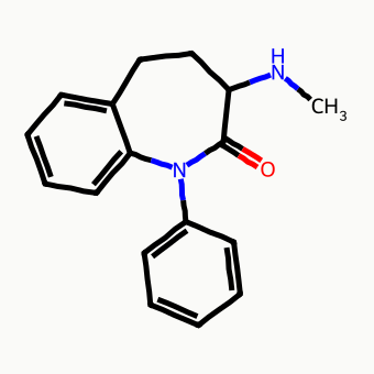 CNC1CCc2ccccc2N(c2ccccc2)C1=O